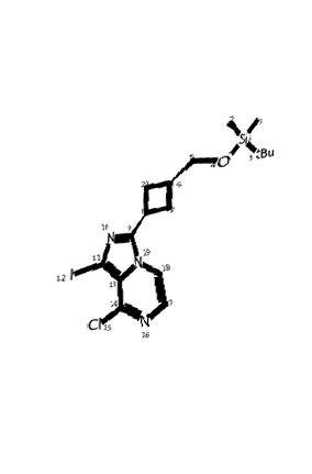 CC(C)(C)[Si](C)(C)OC[C@H]1C[C@@H](c2nc(I)c3c(Cl)nccn32)C1